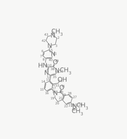 CN1CCN(c2ccc(Nc3nc(-c4cccc(N5CCc6cc(N(C)C)ccc6C5=O)c4CO)cn(C)c3=O)cn2)CC1